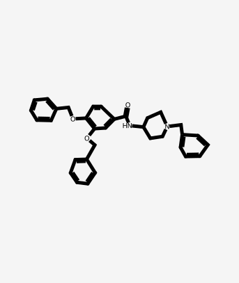 O=C(NC1CCN(Cc2ccccc2)CC1)c1ccc(OCc2ccccc2)c(OCc2ccccc2)c1